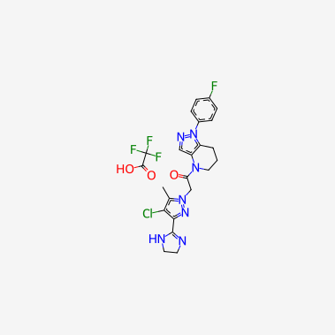 Cc1c(Cl)c(C2=NCCN2)nn1CC(=O)N1CCCc2c1cnn2-c1ccc(F)cc1.O=C(O)C(F)(F)F